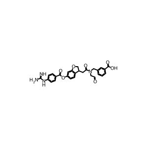 N=C(N)Nc1ccc(C(=O)Oc2ccc3c(c2)OCC3CC(=O)N(CC=O)Cc2cccc(C(=O)O)c2)cc1